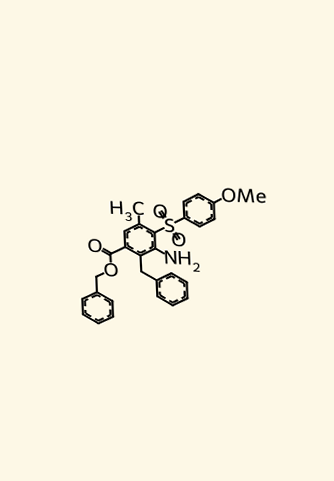 COc1ccc(S(=O)(=O)c2c(C)cc(C(=O)OCc3ccccc3)c(Cc3ccccc3)c2N)cc1